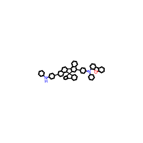 c1ccc(Nc2ccc(-c3ccc4c5c(ccc4c3)-c3c(cc(-c4ccc(N(c6ccccc6)c6cccc7c6oc6ccccc67)cc4)c4ccccc34)C53c4ccccc4-c4ccccc43)cc2)cc1